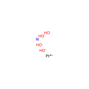 [N].[OH-].[OH-].[OH-].[OH-].[Pt+4]